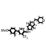 COc1ccc(-c2cc(C(F)(F)F)c(N[C@@H]3C[C@@H]4CN(CC5CCOCC5)C[C@@H]4C3)nn2)c(F)c1